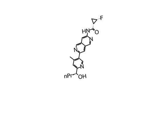 CCC[C@H](O)c1cc(C)c(-c2cc3cnc(NC(=O)[C@@H]4C[C@@H]4F)cc3cn2)cn1